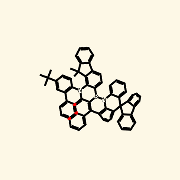 CC(C)(C)c1ccc(N2c3cc4ccccc4c4c3B(c3ccc5c(c32)C(C)(C)c2ccccc2-5)N2c3ccccc3C3(c5ccccc5-c5ccccc53)c3cccc-4c32)c(-c2ccccc2)c1